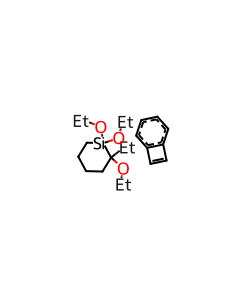 C1=Cc2ccccc21.CCOC1(CC)CCCC[Si]1(OCC)OCC